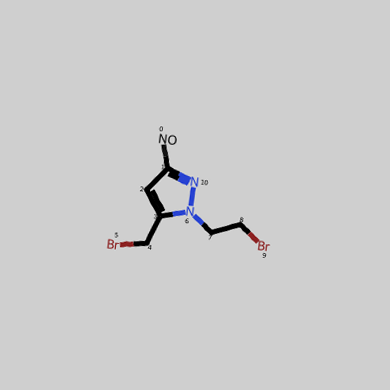 O=Nc1cc(CBr)n(CCBr)n1